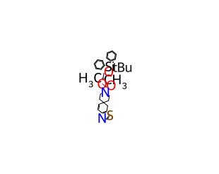 CC(C)(CO[Si](c1ccccc1)(c1ccccc1)C(C)(C)C)OC(=O)N1CCC2(C=Cc3ncsc3C2)CC1